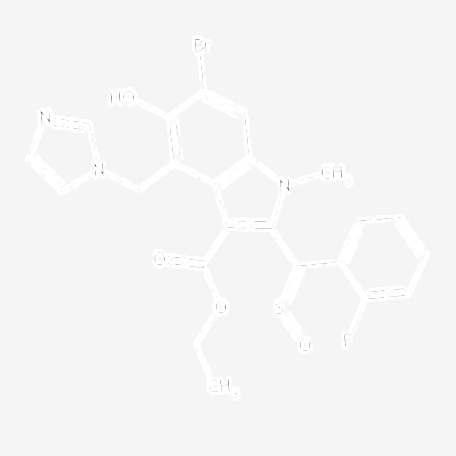 CCOC(=O)c1c(C(=S=O)c2ccccc2F)n(C)c2cc(Br)c(O)c(Cn3ccnc3)c12